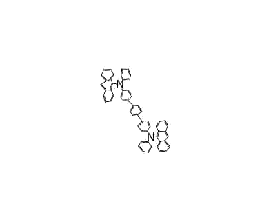 c1ccc(N(c2ccc(-c3ccc(-c4ccc(N(c5ccccc5)c5c6ccccc6cc6ccccc56)cc4)cc3)cc2)c2c3ccccc3cc3ccccc23)cc1